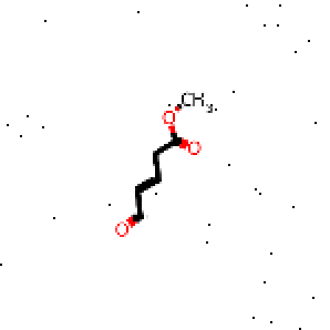 COC(=O)C/C=C/[C]=O